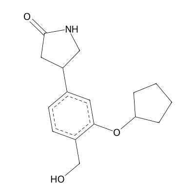 O=C1CC(c2ccc(CO)c(OC3CCCC3)c2)CN1